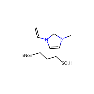 C=CN1C=CN(C)C1.CCCCCCCCCCCCS(=O)(=O)O